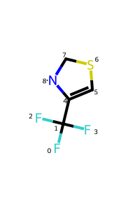 FC(F)(F)C1=CSC[N]1